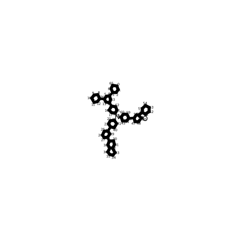 c1ccc(-c2cc(-c3ccccc3)cc(-c3ccc(N(c4ccc(-c5cccc(-c6ccc7ccccc7c6)c5)cc4)c4ccc(-c5ccc6oc7ccccc7c6c5)cc4)cc3)c2)cc1